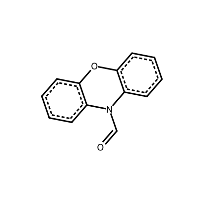 O=CN1c2ccccc2Oc2ccccc21